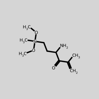 C=C(C)C(=O)C(N)CC[Si](C)(OC)OC